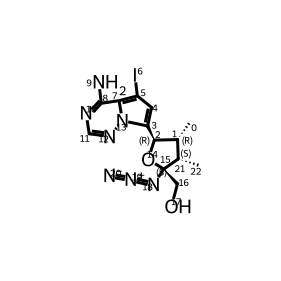 C[C@H]1[C@H](c2cc(I)c3c(N)ncnn23)O[C@@](CO)(N=[N+]=[N-])[C@H]1C